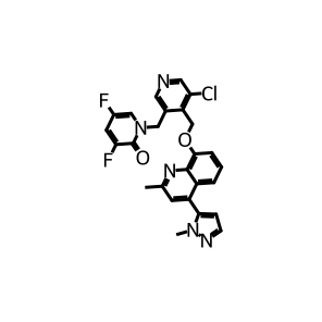 Cc1cc(-c2ccnn2C)c2cccc(OCc3c(Cl)cncc3Cn3cc(F)cc(F)c3=O)c2n1